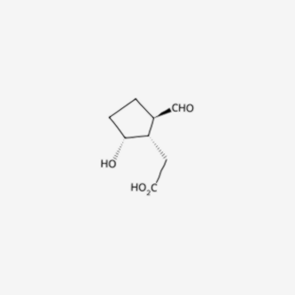 O=C[C@@H]1CC[C@@H](O)[C@H]1CC(=O)O